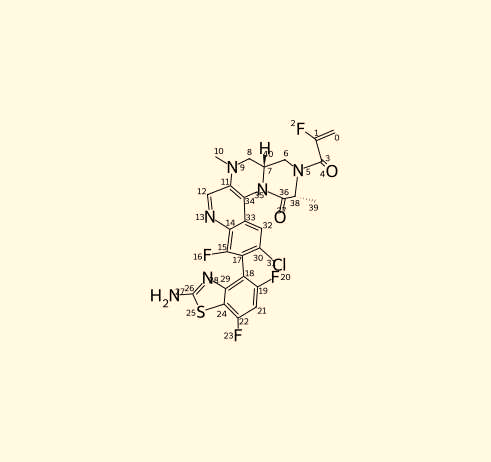 C=C(F)C(=O)N1C[C@H]2CN(C)c3cnc4c(F)c(-c5c(F)cc(F)c6sc(N)nc56)c(Cl)cc4c3N2C(=O)[C@H]1C